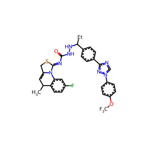 CCC(NNC(=O)/N=C1\SCC2=CC(C)c3ccc(F)cc3N21)c1ccc(-c2ncn(-c3ccc(OC(F)(F)F)cc3)n2)cc1